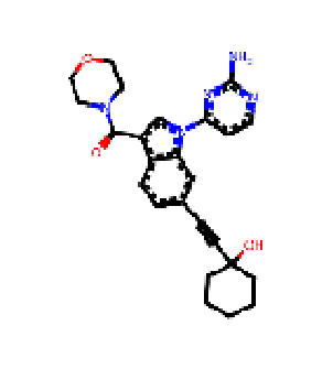 Nc1nccc(-n2cc(C(=O)N3CCOCC3)c3ccc(C#CC4(O)CCCCC4)cc32)n1